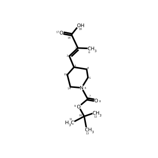 C/C(=C\C1CCN(C(=O)OC(C)(C)C)CC1)C(=O)O